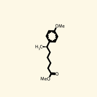 COC(=O)CCCC[C@@H](C)c1ccc(OC)cc1